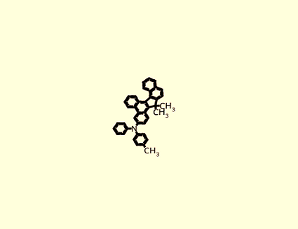 Cc1ccc(N(c2ccccc2)c2ccc3c4c(c5ccccc5c3c2)-c2c(ccc3ccccc23)C4(C)C)cc1